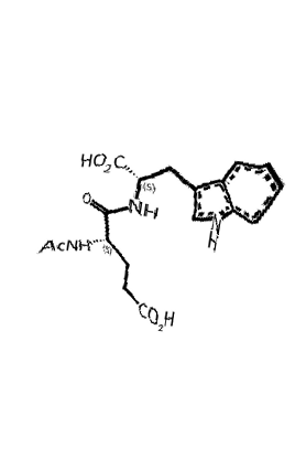 CC(=O)N[C@@H](CCC(=O)O)C(=O)N[C@@H](Cc1c[nH]c2ccccc12)C(=O)O